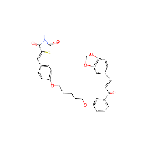 O=C1NC(=O)C(=Cc2ccc(OCCCCCOc3cccc(C(=O)C=Cc4ccc5c(c4)OCO5)c3)cc2)S1